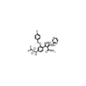 C[C@@H](Oc1cc(NS(=O)(=O)C(F)F)ccc1-c1n[nH]c(Nc2cnccn2)c1C(N)=O)c1ccc(F)cc1